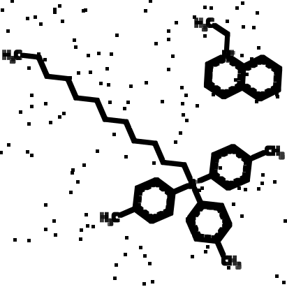 CCCCCCCCCCCC[B-](c1ccc(C)cc1)(c1ccc(C)cc1)c1ccc(C)cc1.CC[n+]1cccc2ccccc21